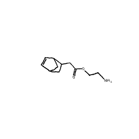 NCCOC(=O)CC1CC2C=CC1C2